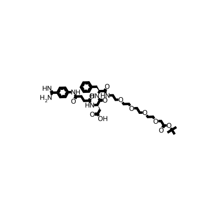 CC(C)(C)OC(=O)COCCOCCOCCOCCNC(=O)[C@H](Cc1ccccc1)NC(=O)[C@H](CC(=O)O)NC(=O)CCC(=O)Nc1ccc(C(=N)N)cc1